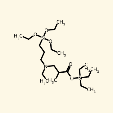 CCO[Si](CCCN(CC)CC(C)C(=O)O[Si](CC)(CC)CC)(OCC)OCC